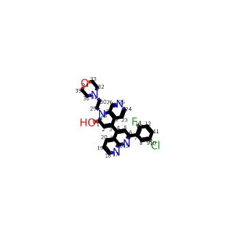 OC1C=C(c2cc(-c3cc(Cl)ccc3F)nc3ncccc23)c2ccncc2N1CCN1CCOCC1